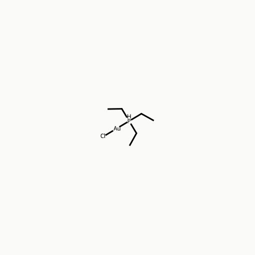 CC[PH](CC)(CC)[Au][Cl]